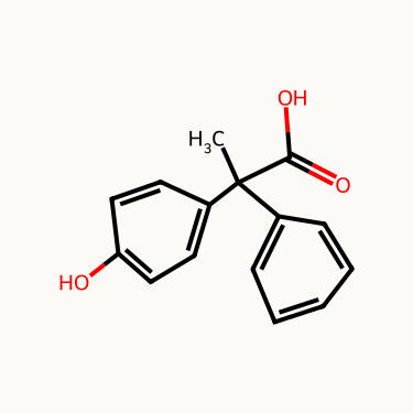 CC(C(=O)O)(c1ccccc1)c1ccc(O)cc1